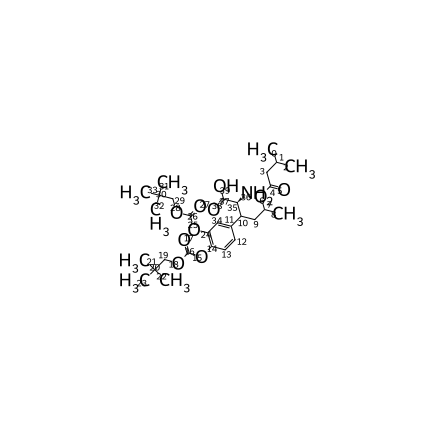 CC(C)CC(=O)OC(C)CC(c1ccc(OC(=O)OCC(C)(C)C)c(OC(=O)OCC(C)(C)C)c1)[C@H](N)C(=O)O